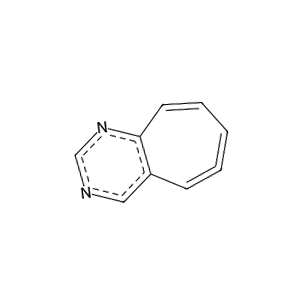 C1=CC=Cc2ncncc2C=1